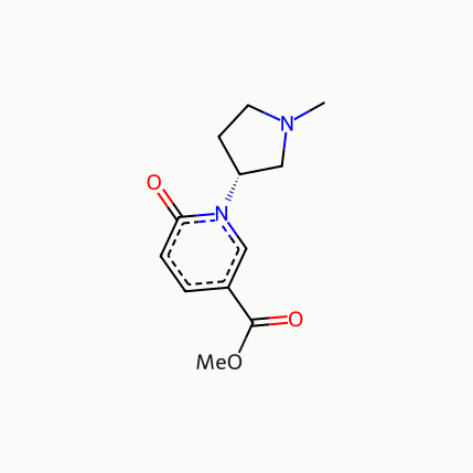 COC(=O)c1ccc(=O)n([C@@H]2CCN(C)C2)c1